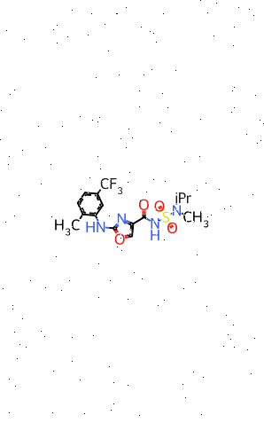 Cc1ccc(C(F)(F)F)cc1Nc1nc(C(=O)NS(=O)(=O)N(C)C(C)C)co1